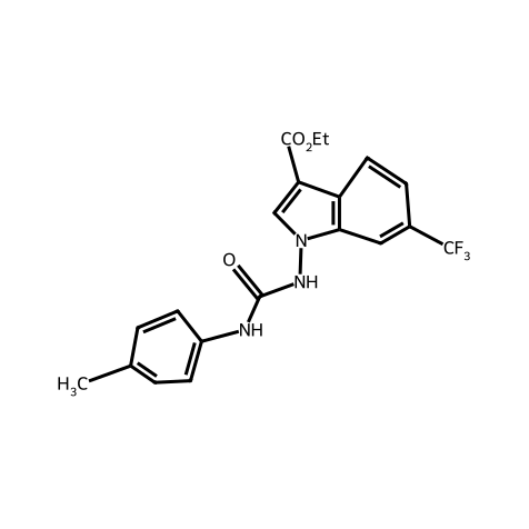 CCOC(=O)c1cn(NC(=O)Nc2ccc(C)cc2)c2cc(C(F)(F)F)ccc12